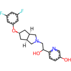 Oc1ccc(C(O)CN2C[C@H]3C[C@@H](Oc4cc(F)cc(F)c4)C[C@H]3C2)nc1